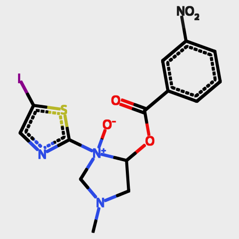 CN1CC(OC(=O)c2cccc([N+](=O)[O-])c2)[N+]([O-])(c2ncc(I)s2)C1